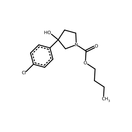 CCCCOC(=O)N1CCC(O)(c2ccc(Cl)cc2)C1